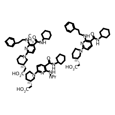 CCCNc1nc(N2CCC[C@@H](CC(=O)O)C2)ccc1C(=O)NC1CCCCC1.CN(CCc1ccccc1)c1nc(N2CCC[C@@H](CC(=O)O)C2)ccc1C(=O)NC1CCCCC1.O=C(O)C[C@@H]1CCCN(c2ccc(C(=O)NC3CCCCC3)c(NCCc3ccccc3)n2)C1